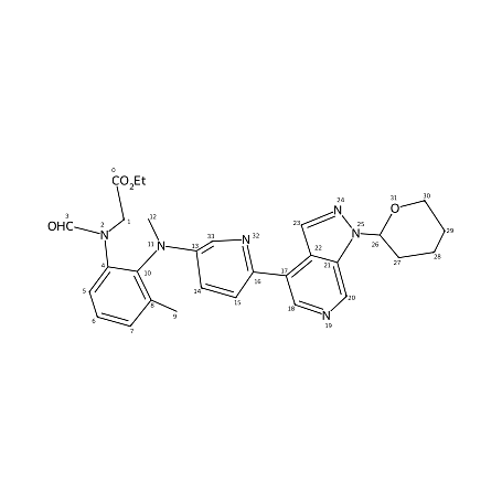 CCOC(=O)CN(C=O)c1cccc(C)c1N(C)c1ccc(-c2cncc3c2cnn3C2CCCCO2)nc1